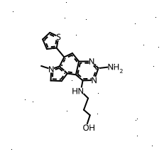 Cn1ccc2c3c(NCCCO)nc(N)nc3cc(-c3cccs3)c21